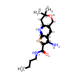 CCCCNC(=O)c1sc2nc3c(cc2c1N)COC(C)(C)C3